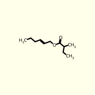 CCCC=CCOC(=O)C(C)CC